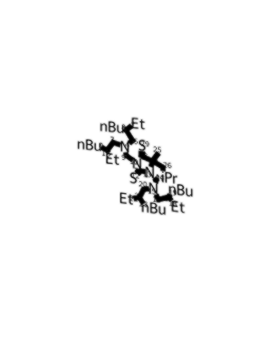 CCCCC(CC)CN(CC(CC)CCCC)CN1C(=S)N(CN(CC(CC)CCCC)CC(CC)CCCC)C(C)(CC(C)C)C1=S